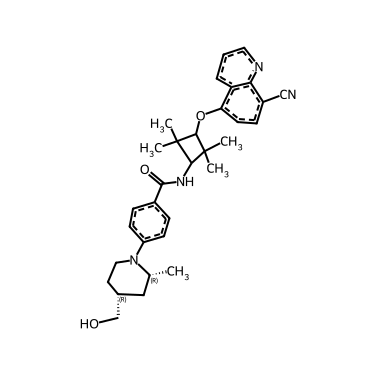 C[C@@H]1C[C@H](CO)CCN1c1ccc(C(=O)NC2C(C)(C)C(Oc3ccc(C#N)c4ncccc34)C2(C)C)cc1